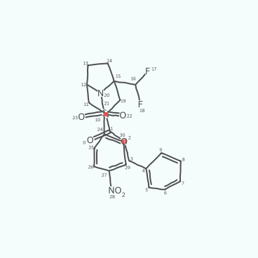 O=C(OCc1ccccc1)N1CC2CCC(C(F)F)(C1)N2S(=O)(=O)c1ccc([N+](=O)[O-])cc1